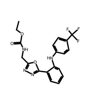 CCOC(=O)NCc1nnc(-c2ccccc2Nc2ccc(C(F)(F)F)cc2)o1